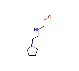 [O]CCNCCN1CCCC1